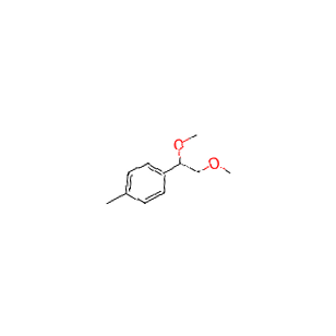 COCC(OC)c1ccc(C)cc1